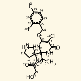 CC(C)C1([C@]2(NC(=O)CO)CCNC2)NC(=O)C(Cl)=C(OCc2ccc(F)cc2F)N1